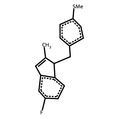 CSc1ccc(CC2C(C)=Cc3cc(F)ccc32)cc1